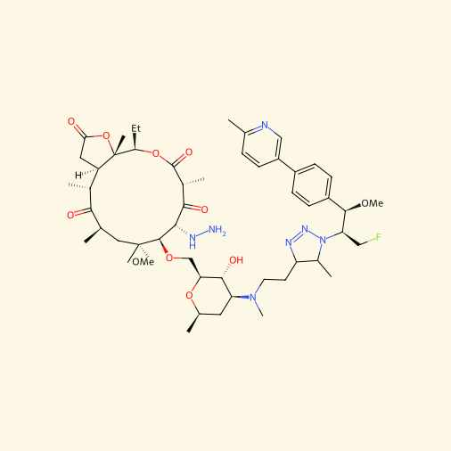 CC[C@H]1OC(=O)[C@H](C)C(=O)[C@H](NN)[C@@H](OC[C@@H]2O[C@H](C)C[C@H](N(C)CCC3N=NN([C@H](CF)[C@H](OC)c4ccc(-c5ccc(C)nc5)cc4)C3C)[C@H]2O)[C@](C)(OC)C[C@@H](C)C(=O)[C@H](C)[C@H]2CC(=O)O[C@@]21C